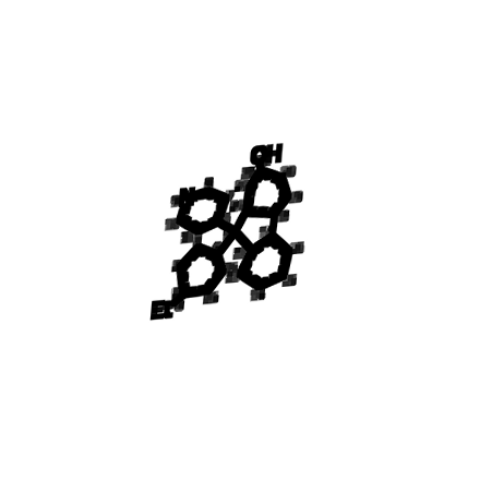 CCc1ccc(C2(c3ccncc3)c3ccccc3-c3ccc(O)cc32)cc1